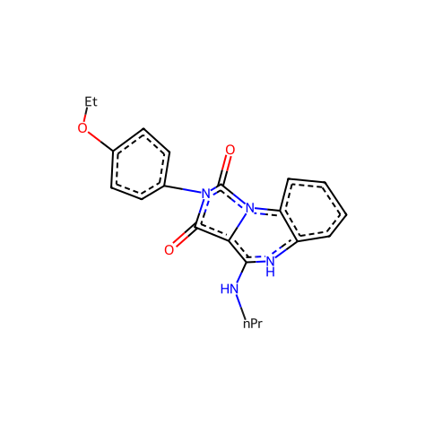 CCCNc1[nH]c2ccccc2n2c(=O)n(-c3ccc(OCC)cc3)c(=O)c1-2